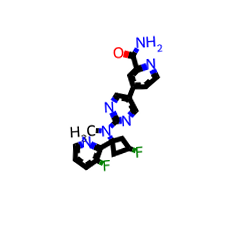 CN(c1ncc(-c2ccnc(C(N)=O)c2)cn1)C1(c2ncccc2F)CC(F)C1